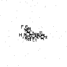 CCC(c1cnn(-c2ccc(F)cc2F)c1)n1c(Br)c(-c2cnc(C(F)(F)F)nc2)c2c(N)ncnc21